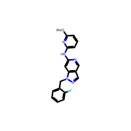 COc1cccc(Nc2cc3c(cn2)cnn3Cc2ccccc2F)n1